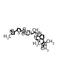 Cc1cc(-c2ccc(S(=O)(=O)N3CCN(CC(C)Nc4ncnc5c(-c6c(C)nn(C)c6C)cccc45)CC3)s2)on1